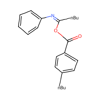 CCCCC(=Nc1ccccc1)OC(=O)c1ccc(CCCC)cc1